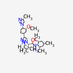 COc1cc(-c2cn(C(C(=O)Nc3c(C)cc(C)cc3C)C(C)(C)C)nn2)ccc1-n1cnc(C)c1